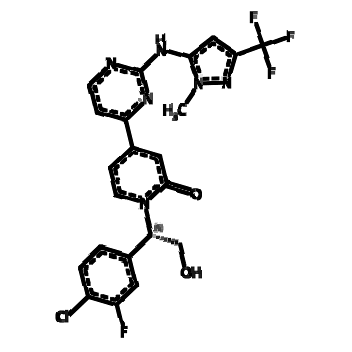 Cn1nc(C(F)(F)F)cc1Nc1nccc(-c2ccn([C@H](CO)c3ccc(Cl)c(F)c3)c(=O)c2)n1